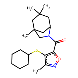 Cc1noc(C(=O)N2CC3(C)CC2CC(C)(C)C3)c1SC1CCCCC1